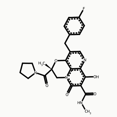 CNC(=O)c1c(O)c2ncc(Cc3ccc(F)cc3)c3c2n(c1=O)C[C@](C)(C(=O)N1CCCC1)O3